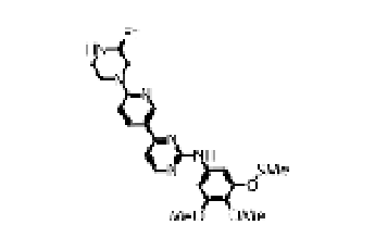 CCC1CN(c2ccc(-c3ccnc(Nc4cc(OC)c(OC)c(OSC)c4)n3)cn2)CCN1